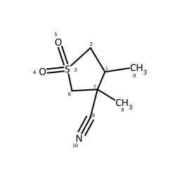 CC1CS(=O)(=O)CC1(C)C#N